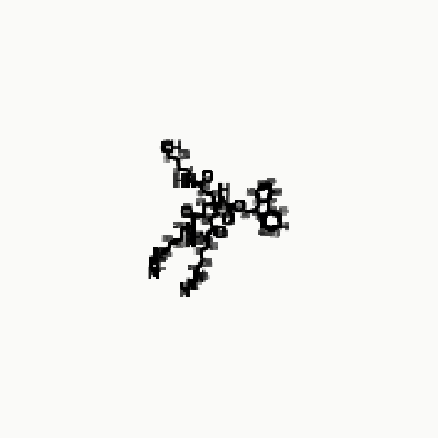 CCCCCNC(=O)CCC(CCC(=O)NCCCCN=[N+]=[N-])(CCC(=O)NCCCCN=[N+]=[N-])NC(=O)OCC1c2ccccc2-c2ccccc21